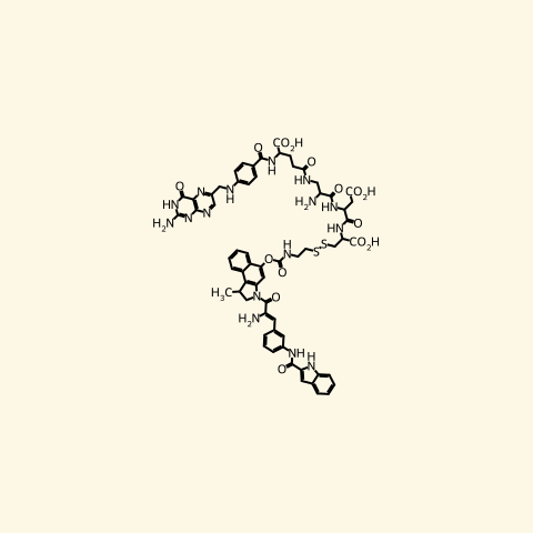 CC1CN(C(=O)/C(N)=C/c2cccc(NC(=O)c3cc4ccccc4[nH]3)c2)c2cc(OC(=O)NCCSSCC(NC(=O)C(CC(=O)O)NC(=O)C(N)CNC(=O)CCC(NC(=O)c3ccc(NCc4cnc5nc(N)[nH]c(=O)c5n4)cc3)C(=O)O)C(=O)O)c3ccccc3c21